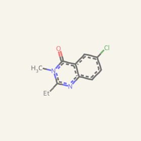 CCc1nc2ccc(Cl)cc2c(=O)n1C